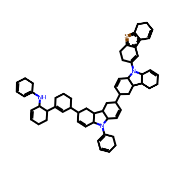 C1=CCCC(NC2C=CCCC2C2=CC(C3C=CC4C(C3)C3CC(C5C=CC6C(C5)C5CCC=CC5N6C5=Cc6c(sc7c6C=CCC7)CC5)C=CC3N4C3=CC=CCC3)CCC2)=C1